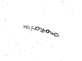 O=C(O)CC1CCN(CC2CC(c3ccc(C=NN4CCSCC4)cc3)=NO2)CC1